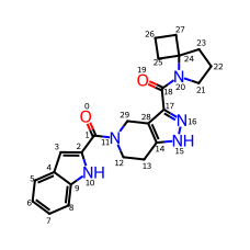 O=C(c1cc2ccccc2[nH]1)N1CCc2[nH]nc(C(=O)N3CCCC34CCC4)c2C1